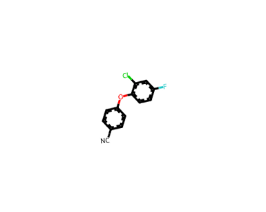 N#Cc1ccc(Oc2ccc(F)cc2Cl)cc1